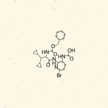 O=C(O)Nc1ccc(Br)nc1NC(=O)C(NC(=O)OCc1ccccc1)C(C1CC1)C1CC1